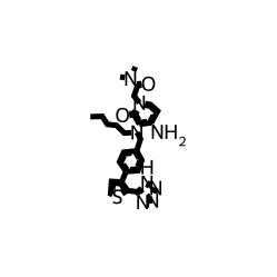 CCCCCN(Cc1ccc(-c2ccsc2-c2nnn[nH]2)cc1)c1c(N)ccn(CC(=O)N(C)C)c1=O